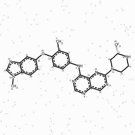 Cc1cc(Nc2ncnc3cnc(N4CCN[C@@H](C(F)(F)F)C4)nc23)ccc1Oc1ccc2c(c1)ncn2C